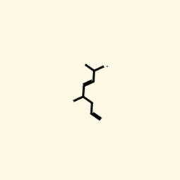 [CH2]C(C)C=CC(C)CC=C